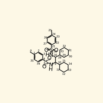 Cc1ccc(S(=O)(=O)NC(C2CCCCC2)C(NS(=O)(=O)c2ccc(C)cc2)C2CCCCC2)cc1